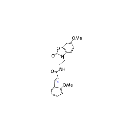 COc1ccc2c(c1)oc(=O)n2CCNC(=O)/C=C/c1ccccc1OC